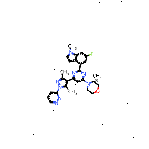 Cc1nn(-c2cccnn2)c(C)c1-c1cc(N2CCOC[C@H]2C)nc(-c2cc(F)cc3c2ccn3C)n1